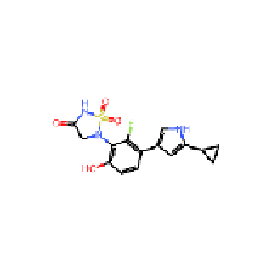 O=C1CN(c2c(O)ccc(-c3c[nH]c(C4CC4)c3)c2F)S(=O)(=O)N1